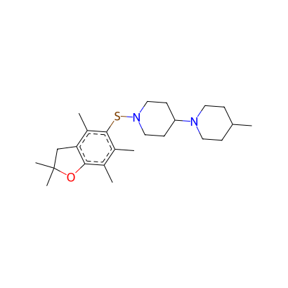 Cc1c(C)c(SN2CCC(N3CCC(C)CC3)CC2)c(C)c2c1OC(C)(C)C2